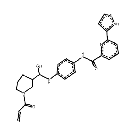 C=CC(=O)N1CCCC(C(O)Nc2ccc(NC(=O)c3cccc(-c4ccn[nH]4)n3)cc2)C1